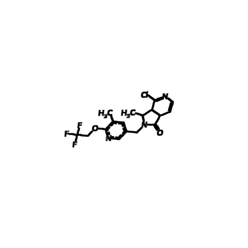 Cc1cc(CN2C(=O)C3C=CN=C(Cl)C3C2C)cnc1OCC(F)(F)F